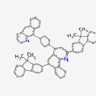 CC1(C)c2ccccc2-c2ccc(-c3cc(-c4ccc(-c5c6ccccc6cc6cccnc56)cc4)c4cc(-c5ccc6c(c5)C(C)(C)c5ccccc5-6)c5ccccc5c4n3)cc21